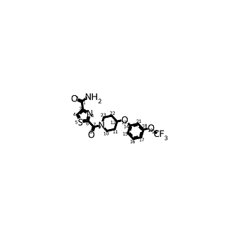 NC(=O)c1csc(C(=O)N2CCC(Oc3cccc(OC(F)(F)F)c3)CC2)n1